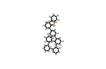 c1ccc2c(c1)-c1ccccc1-c1cccc(-c3ccc(-c4cccc5c4sc4ccccc45)cc3)c1-c1ccccc1-2